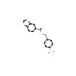 CCS(=O)(=O)c1ccc(CNC(=O)c2ccc3[nH]cnc3c2)cc1